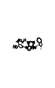 C[C@H]1Cc2ccccc2[C@H]1Nc1ncnc2c1ccn2[C@H]1C[C@H](O)[C@@H](N(C)S(=O)(=O)O)C1